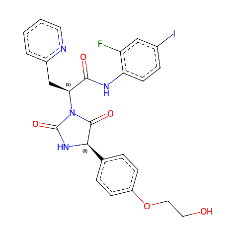 O=C(Nc1ccc(I)cc1F)[C@H](Cc1ccccn1)N1C(=O)N[C@H](c2ccc(OCCO)cc2)C1=O